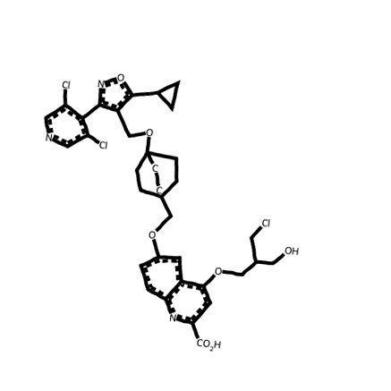 O=C(O)c1cc(OCC(CO)CCl)c2cc(OCC34CCC(OCc5c(-c6c(Cl)cncc6Cl)noc5C5CC5)(CC3)CC4)ccc2n1